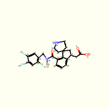 O=C(O)CC1CC2(CCNCC2)c2c(C(=O)N(Br)Cc3cc(F)c(F)cc3F)cccc21